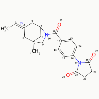 C/C=C1/CC2CC(C)(C1)CN2C(=O)c1ccc(N2C(=O)CCC2=O)cc1